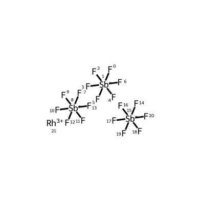 [F][Sb-]([F])([F])([F])([F])[F].[F][Sb-]([F])([F])([F])([F])[F].[F][Sb-]([F])([F])([F])([F])[F].[Rh+3]